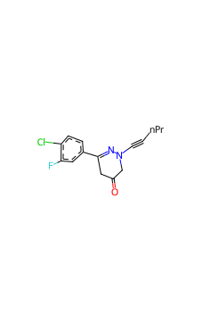 CCCC#CN1CC(=O)CC(c2ccc(Cl)c(F)c2)=N1